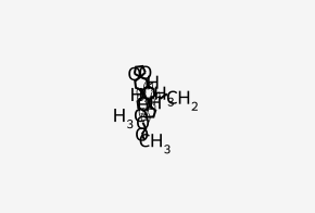 C=CC[C@@H]1C[C@H]2CC3(CC[C@]2(C)[C@H]2CC[C@]4(C)[C@@H](OCOC)CC[C@H]4[C@H]12)OCCO3